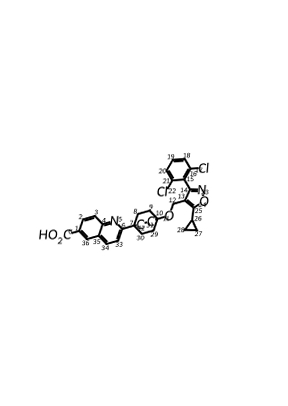 O=C(O)c1ccc2nc(C34CCC(OCc5c(-c6c(Cl)cccc6Cl)noc5C5CC5)(CC3)CC4)ccc2c1